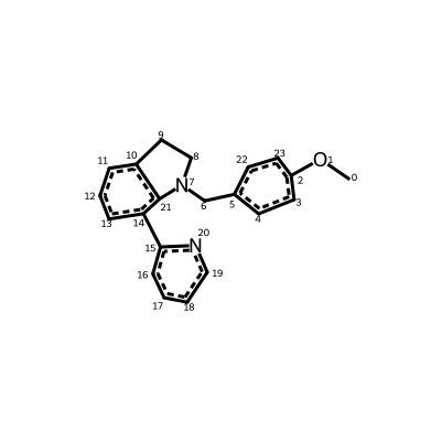 COc1ccc(CN2CCc3cccc(-c4ccccn4)c32)cc1